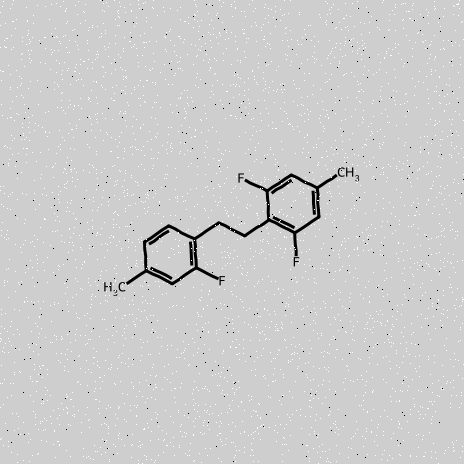 Cc1ccc(CCc2c(F)cc(C)cc2F)c(F)c1